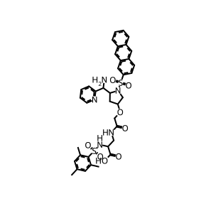 Cc1cc(C)c(S(=O)(=O)NC(CNC(=O)COC2CC(C(N)c3ccccn3)N(S(=O)(=O)c3ccc4cc5ccccc5cc4c3)C2)C(=O)O)c(C)c1